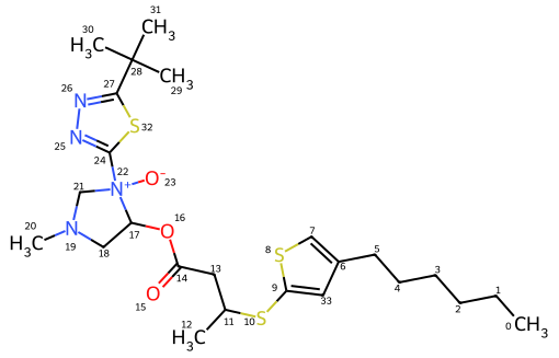 CCCCCCc1csc(SC(C)CC(=O)OC2CN(C)C[N+]2([O-])c2nnc(C(C)(C)C)s2)c1